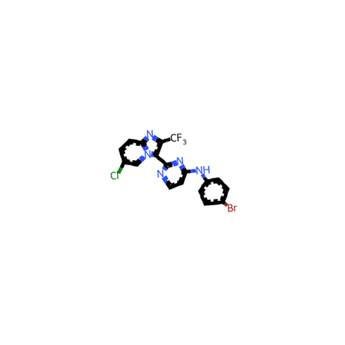 FC(F)(F)c1nc2ccc(Cl)cn2c1-c1nccc(Nc2ccc(Br)cc2)n1